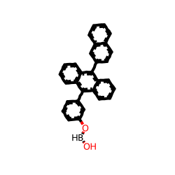 OBOc1cccc(-c2c3ccccc3c(-c3ccc4ccccc4c3)c3ccccc23)c1